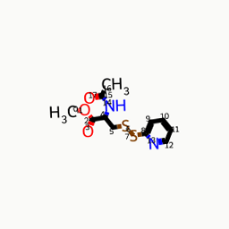 COC(=O)C(CSSc1ccccn1)NC(C)=O